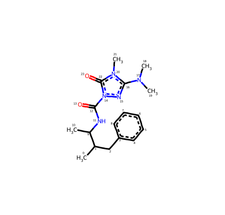 CC(Cc1ccccc1)C(C)NC(=O)n1nc(N(C)C)n(C)c1=O